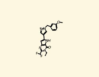 CCn1c(C(F)F)nc2cc(-c3cnn(Cc4cccc(OC)c4)c3)[nH]c2c1=O